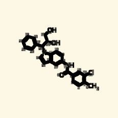 Cc1ccc(C(=O)Nc2ccc3c(ccn3[C@@H](c3ccccc3)[C@H](O)CO)c2)cc1Cl